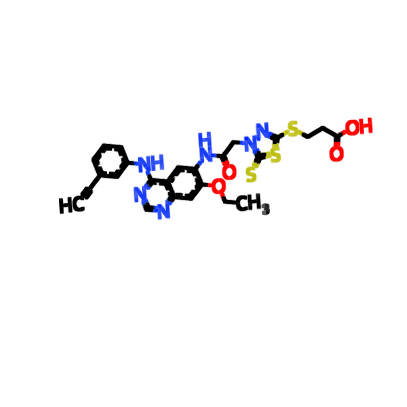 C#Cc1cccc(Nc2ncnc3cc(OCC)c(NC(=O)Cn4nc(SCCC(=O)O)sc4=S)cc23)c1